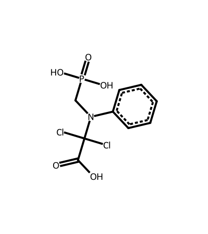 O=C(O)C(Cl)(Cl)N(CP(=O)(O)O)c1ccccc1